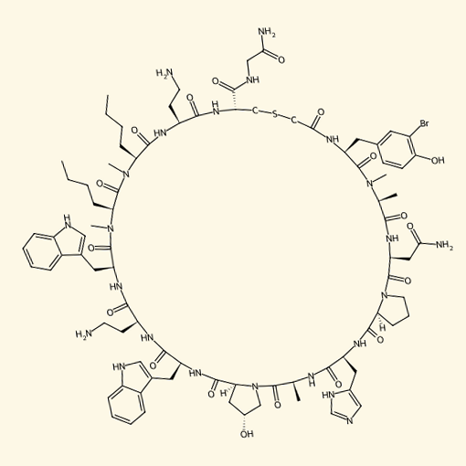 CCCC[C@H]1C(=O)N(C)[C@@H](CCCC)C(=O)N[C@@H](CCN)C(=O)N[C@H](C(=O)NCC(N)=O)CSCC(=O)N[C@@H](Cc2ccc(O)c(Br)c2)C(=O)N(C)[C@@H](C)C(=O)N[C@@H](CC(N)=O)C(=O)N2CCC[C@H]2C(=O)N[C@@H](Cc2cnc[nH]2)C(=O)N[C@@H](C)C(=O)N2C[C@H](O)C[C@H]2C(=O)N[C@@H](Cc2c[nH]c3ccccc23)C(=O)N[C@@H](CCN)C(=O)N[C@@H](Cc2c[nH]c3ccccc23)C(=O)N1C